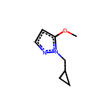 COc1c[c]nn1CC1CC1